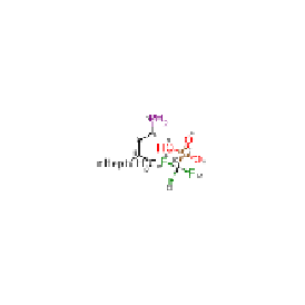 CCCCCCCC(C)CCP.O=S(=O)(O)C(F)(F)F